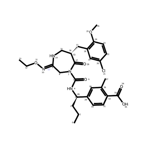 CCC[C@@H](NC(=O)N1C/C(=N/OCC)NC[C@H](Cc2cc(Cl)ccc2OC)C1=O)c1ccc(C(=O)O)c(C)c1